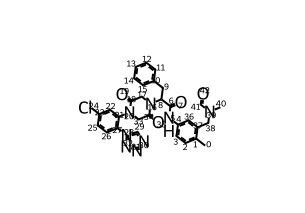 Cc1ccc(NC(=O)C(Cc2ccccc2)N2CC(=O)N(c3cc(Cl)ccc3-n3cnnn3)CC2=O)cc1CN(C)C=O